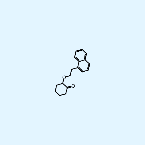 O=C1CCCCC1OCCc1cccc2ccccc12